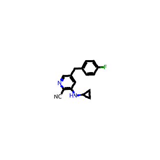 N#Cc1ncc(Cc2ccc(F)cc2)cc1NC1CC1